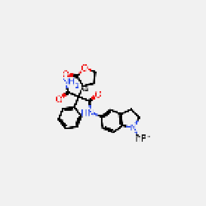 CCCN1CCc2cc(NC(=O)C(C(N)=O)(c3ccccc3)[C@@H]3CCOC3=O)ccc21